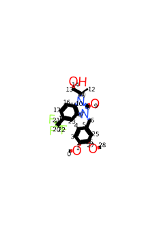 COc1ccc(Cn2c(=O)n([C@H](C)CO)c3ccc(C(F)(F)F)cc32)cc1OC